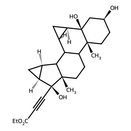 CCOC(=O)C#C[C@]1(O)[C@H]2C[C@H]2C2C3C(CC[C@@]21C)[C@@]1(C)CC[C@H](O)C[C@@]1(O)[C@@H]1C[C@H]31